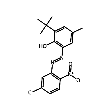 Cc1cc(/N=N/c2cc(Cl)ccc2[N+](=O)[O-])c(O)c(C(C)(C)C)c1